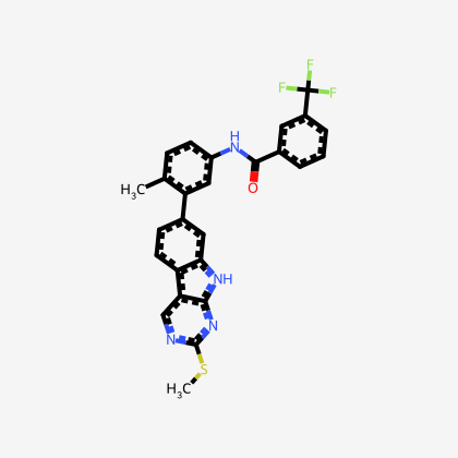 CSc1ncc2c(n1)[nH]c1cc(-c3cc(NC(=O)c4cccc(C(F)(F)F)c4)ccc3C)ccc12